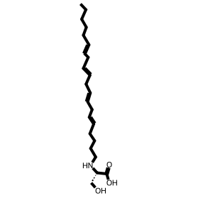 CCCCCC=CCC=CCC=CCC=CCCCCN[C@@H](CO)C(=O)O